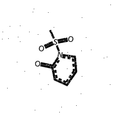 CS(=O)(=O)n1ccccc1=O